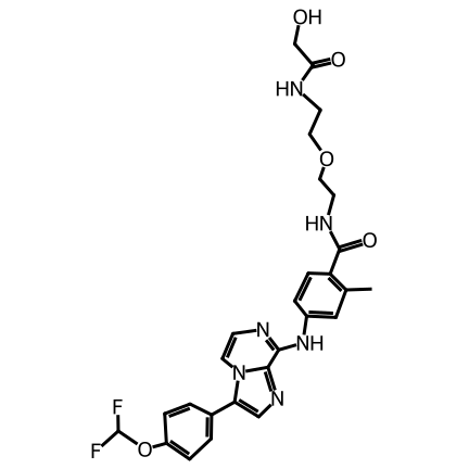 Cc1cc(Nc2nccn3c(-c4ccc(OC(F)F)cc4)cnc23)ccc1C(=O)NCCOCCNC(=O)CO